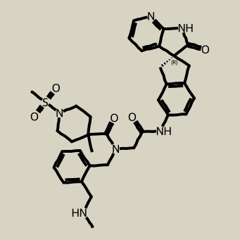 CNCc1ccccc1CN(CC(=O)Nc1ccc2c(c1)C[C@@]1(C2)C(=O)Nc2ncccc21)C(=O)C1(C)CCN(S(C)(=O)=O)CC1